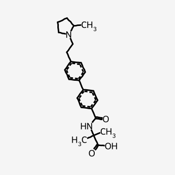 CC1CCCN1CCc1ccc(-c2ccc(C(=O)NC(C)(C)C(=O)O)cc2)cc1